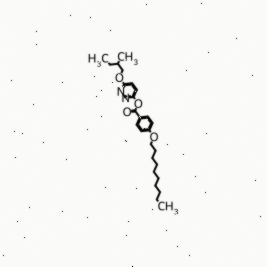 CCCCCCCCCCOc1ccc(C(=O)Oc2ccc(OCC(C)CC)nn2)cc1